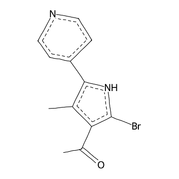 CC(=O)c1c(Br)[nH]c(-c2ccncc2)c1C